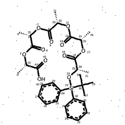 C[C@H](OC(=O)[C@H](C)OC(=O)[C@H](C)OC(=O)[C@H](C)OC(=O)[C@H](C)O[Si](c1ccccc1)(c1ccccc1)C(C)(C)C)C(=O)O